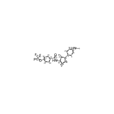 CNc1ccc(-c2nn(C)c(NC(=O)c3ccc(OC(F)(F)F)cc3)c2C)cc1